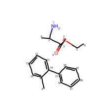 CCOC(=O)C(C)N.Cc1ccccc1-c1ccccc1